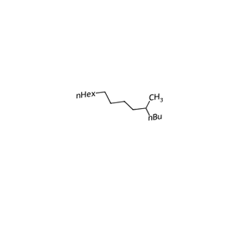 [CH2]CCCCCCCCCC(C)CCC[CH2]